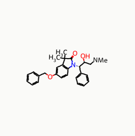 CNC[C@H](O)[C@H](c1ccccc1)N1C(=O)C(C)(C)c2cc(OCc3ccccc3)ccc21